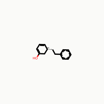 OC1=CC=C[C@H](CCc2ccccc2)C1